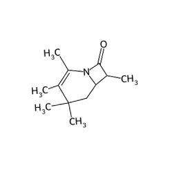 CC1=C(C)C(C)(C)CC2C(C)C(=O)N12